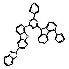 c1ccc(-c2nc(-c3cccc4c3sc3ccc(-c5nc6ccccc6s5)cc34)nc(-n3c4ccccc4c4c(-c5ccccc5)cccc43)n2)cc1